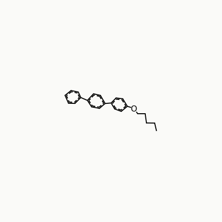 CCCCCOc1ccc(-c2ccc(-c3ccccc3)cc2)cc1